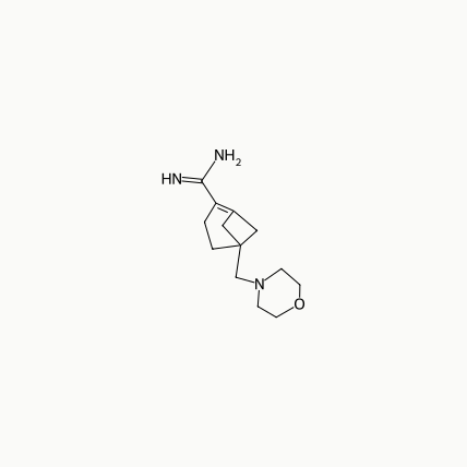 N=C(N)C1=C2CC(CN3CCOCC3)(CC1)C2